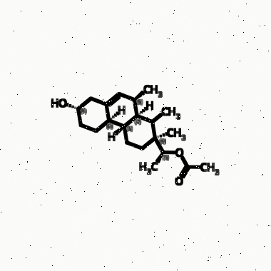 CC(=O)O[C@@H](C)[C@@]1(C)CC[C@H]2[C@H](C1C)[C@H](C)C=C1C[C@@H](O)CC[C@@H]12